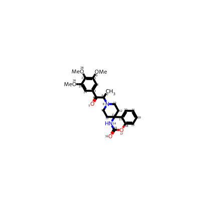 COc1cc(C(=O)C(C)N2CCC3(CC2)NC(=O)Oc2ccccc23)cc(OC)c1OC